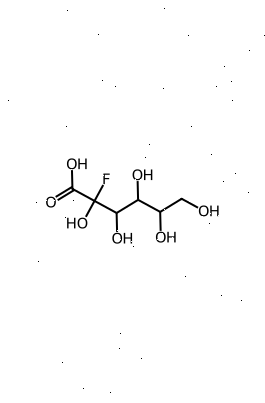 O=C(O)C(O)(F)C(O)C(O)C(O)CO